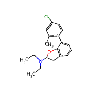 CCN(CC)C1Cc2cccc(-c3ccc(Cl)cc3C)c2O1